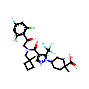 CC1(CN(CC(=O)c2c(Cl)cc(F)cc2Cl)C(=O)c2cnn(C3CCC(C)(C(=O)O)CC3)c2C(F)(F)F)CCC1